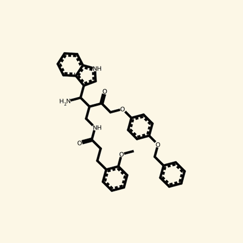 COc1ccccc1CCC(=O)NCC(C(=O)COc1ccc(OCc2ccccc2)cc1)C(N)c1c[nH]c2ccccc12